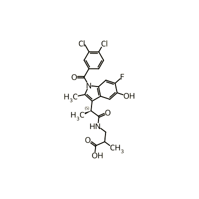 Cc1c([C@H](C)C(=O)NCC(C)C(=O)O)c2cc(O)c(F)cc2n1C(=O)c1ccc(Cl)c(Cl)c1